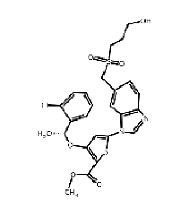 COC(=O)c1sc(-n2cnc3ccc(CS(=O)(=O)CCCO)cc32)cc1O[C@H](C)c1ccccc1Cl